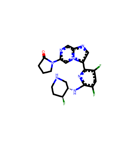 O=C1CCCN1c1cn2c(-c3nc(N[C@H]4CNCC[C@@H]4F)c(F)cc3F)cnc2cn1